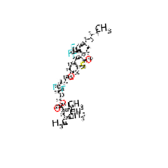 CCCCCc1ccc(-c2cc3ccc(OCCCC(F)(F)CCCOC(=O)C(CC(C)C)C(C)C)cc3sc2=O)c(C(F)(F)F)c1